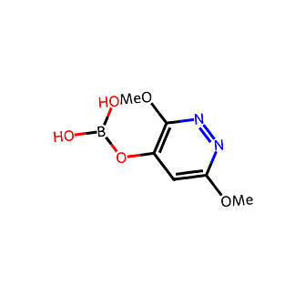 COc1cc(OB(O)O)c(OC)nn1